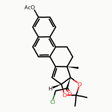 CC(=O)Oc1ccc2c3c(ccc2c1)C1=C[C@H]2OC(C)(C)O[C@@]2(C(=O)CCl)[C@@]1(C)CC3